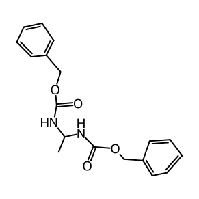 CC(NC(=O)OCc1ccccc1)NC(=O)OCc1ccccc1